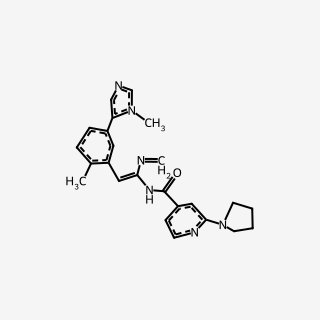 C=N/C(=C\c1cc(-c2cncn2C)ccc1C)NC(=O)c1ccnc(N2CCCC2)c1